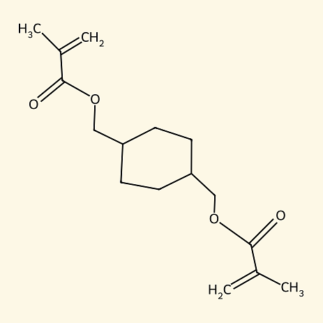 C=C(C)C(=O)OCC1CCC(COC(=O)C(=C)C)CC1